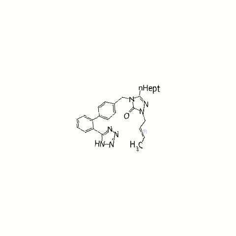 C/C=C/Cn1nc(CCCCCCC)n(Cc2ccc(-c3ccccc3-c3nnn[nH]3)cc2)c1=O